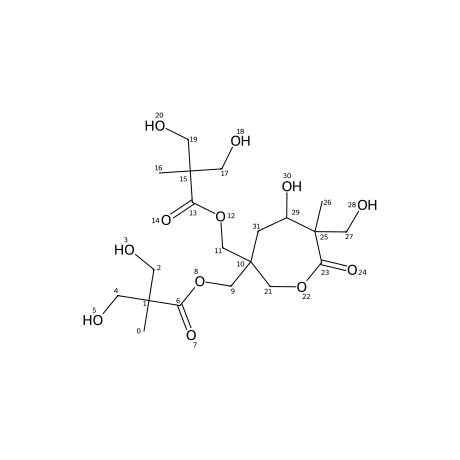 CC(CO)(CO)C(=O)OCC1(COC(=O)C(C)(CO)CO)COC(=O)C(C)(CO)C(O)C1